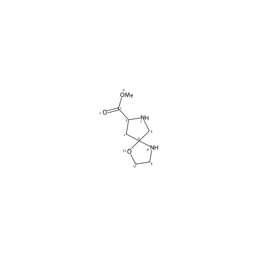 COC(=O)C1CC2(CN1)NCCO2